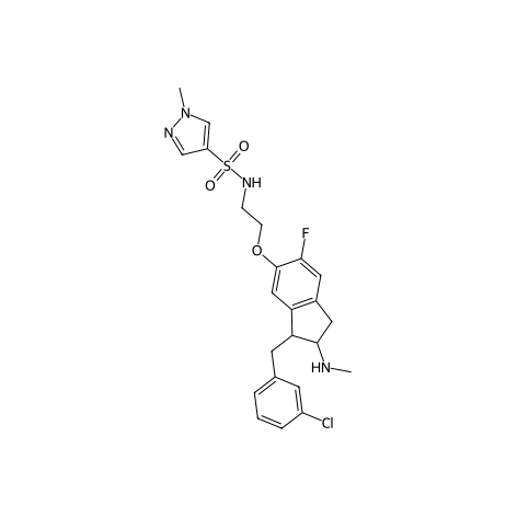 CNC1Cc2cc(F)c(OCCNS(=O)(=O)c3cnn(C)c3)cc2C1Cc1cccc(Cl)c1